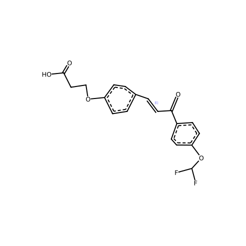 O=C(O)CCOc1ccc(/C=C/C(=O)c2ccc(OC(F)F)cc2)cc1